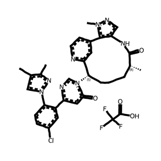 Cc1cn(-c2ccc(Cl)cc2-c2cc(=O)n([C@H]3CCC[C@@H](C)C(=O)Nc4cnn(C)c4-c4ccnc3c4)cn2)nc1C.O=C(O)C(F)(F)F